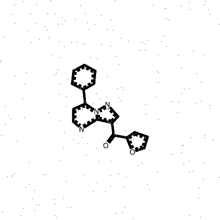 O=C(c1ccco1)c1cnn2c(-c3ccccc3)ccnc12